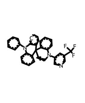 FC(F)(F)c1cncc(N2c3ccccc3C3(c4ccccc4N(c4ccccc4)c4ccccc43)c3ccccc32)c1